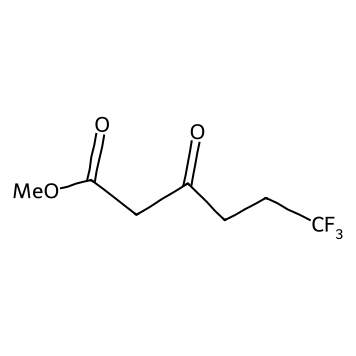 COC(=O)CC(=O)CCC(F)(F)F